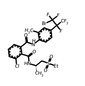 CCS(=O)(=O)C[C@H](C)NC(=O)c1c(Cl)cccc1C(=O)Nc1ccc(C(F)(C(F)(F)F)C(F)(F)Br)cc1C